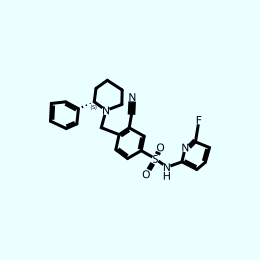 N#Cc1cc(S(=O)(=O)Nc2cccc(F)n2)ccc1CN1CCCC[C@H]1c1ccccc1